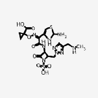 CNCc1cnn(CC2C(NC(=O)/C(=N\OC3(C(=O)O)CC3)C3=CSC(N)N3)C(=O)N2S(=O)(=O)O)n1